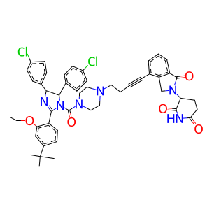 CCOc1cc(C(C)(C)C)ccc1C1=NC(c2ccc(Cl)cc2)C(c2ccc(Cl)cc2)N1C(=O)N1CCN(CCC#Cc2cccc3c2CN(C2CCC(=O)NC2=O)C3=O)CC1